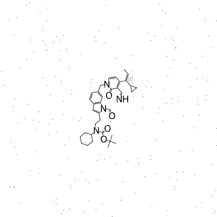 C/C=C(\c1ccn(Cc2ccc3cc(CCN(C(=O)OC(C)(C)C)C4CCCCC4)n(C=O)c3c2)c(=O)c1C=N)C1CC1